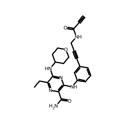 C#CC(=O)NCC#Cc1cccc(Nc2nc(NC3CCOCC3)c(CC)nc2C(N)=O)c1